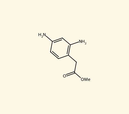 COC(=O)Cc1ccc(N)cc1N